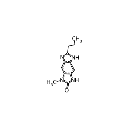 CCCc1nc2cc3c(cc2[nH]1)[nH]c(=O)n3C